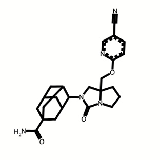 N#Cc1ccc(OCC23CCCN2C(=O)N(C2C4CC5CC2CC(C(N)=O)(C5)C4)C3)nc1